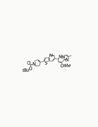 COc1cc(-c2cnc3cc(C4=CCN(C(=O)OC(C)(C)C)CC4)sc3c2)nn2cc(C)nc12